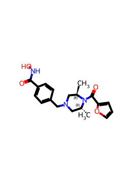 C[C@@H]1CN(Cc2ccc(C(=O)NO)cc2)C[C@@H](C)N1C(=O)c1ccco1